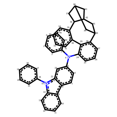 c1ccc(N(c2ccc3c4ccccc4n(-c4ccccc4)c3c2)c2cccc3c2-c2ccccc2C2CC4CC3CC2C4)cc1